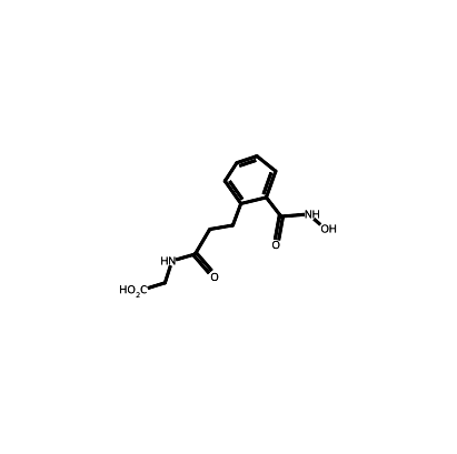 O=C(O)CNC(=O)CCc1ccccc1C(=O)NO